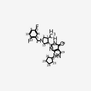 C[C@@H]1CN(Cc2cc(F)ccc2F)C[C@H]1c1nc2c(cnn2C2CCCC2)c(=O)[nH]1